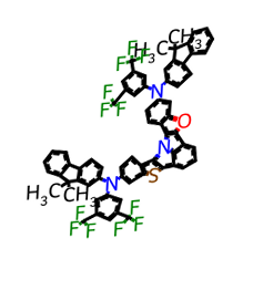 CC1(C)c2ccccc2-c2ccc(N(c3cc(C(F)(F)F)cc(C(F)(F)F)c3)c3ccc4c(c3)oc3c5cccc6c7sc8cc(N(c9cc(C(F)(F)F)cc(C(F)(F)F)c9)c9ccc%10c(c9)C(C)(C)c9ccccc9-%10)ccc8c7n(c56)c43)cc21